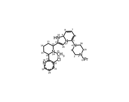 CC(C)N1CCN(C2=CC=CC3NC(C4CCCC(c5ncccc5Cl)N4C)=CN23)CC1